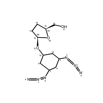 [N-]=[N+]=NC1CC(N=[N+]=[N-])CC(O[C@H]2CC[C@@H](CO)O2)C1